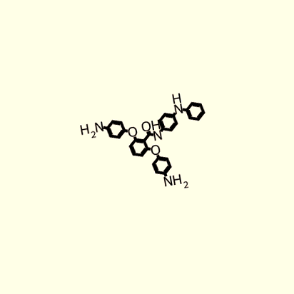 Nc1ccc(Oc2cccc(Oc3ccc(N)cc3)c2C(=O)Nc2ccc(Nc3ccccc3)cc2)cc1